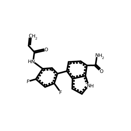 C=CC(=O)Nc1cc(-c2ccc(C(N)=O)c3[nH]ccc23)c(F)cc1F